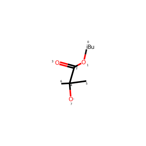 CCC(C)OC(=O)C(C)(C)[O]